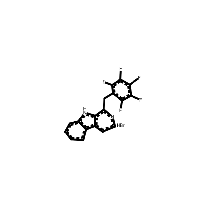 Br.Fc1c(F)c(F)c(Cc2nccc3c2[nH]c2ccccc23)c(F)c1F